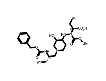 CC(C)C[C@@H](CN1CCC(NN(C(=O)OC(C)(C)C)[C@@H](CC(C)C)C(=O)O)C(O)C1)NC(=O)OCc1ccccc1